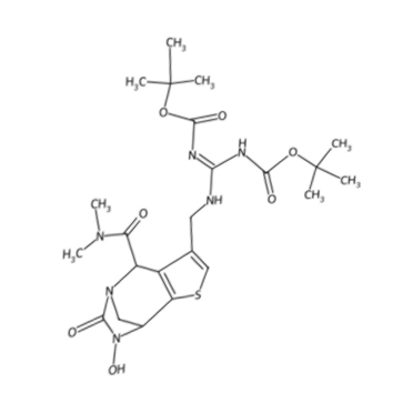 CN(C)C(=O)C1c2c(CNC(=NC(=O)OC(C)(C)C)NC(=O)OC(C)(C)C)csc2C2CN1C(=O)N2O